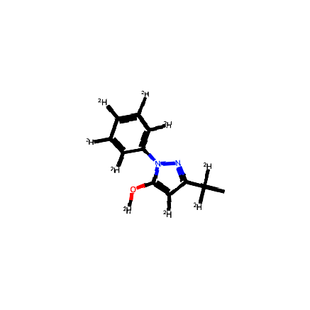 [2H]Oc1c([2H])c(C([2H])([2H])C)nn1-c1c([2H])c([2H])c([2H])c([2H])c1[2H]